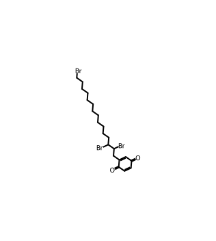 O=C1C=CC(=O)C(CC(Br)C(Br)CCCCCCCCCCCCBr)=C1